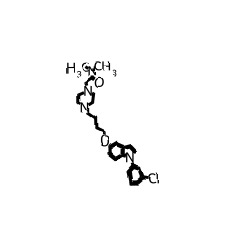 CN(C)C(=O)CN1CCN(CCCCOc2ccc3c(ccn3-c3cccc(Cl)c3)c2)CC1